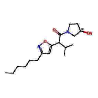 CCCCCCc1cc(C(C(=O)N2CC[C@@H](O)C2)C(C)C)on1